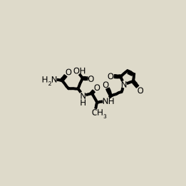 CC(NC(=O)CN1C(=O)C=CC1=O)C(=O)NC(CC(N)=O)C(=O)O